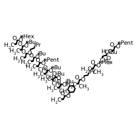 C=C(C)C(=O)OC(C)CC.C=C(C)C(=O)OCC(C)C.C=C(C)C(=O)OCCC(C)C.C=C(C)C(=O)OCCCC.C=C(C)C(=O)OCCCCC.C=C(C)C(=O)OCCCCCC.C=CC(=O)OC(C)CC.C=CC(=O)OC1CCCCC1.C=CC(=O)OCC(C)C.C=CC(=O)OCCC(C)C.C=CC(=O)OCCCC.C=CC(=O)OCCCCC.C=CC(=O)OCCCCCC